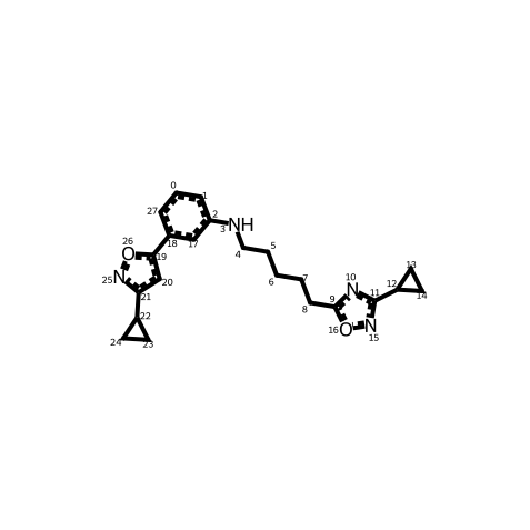 c1cc(NCCCCCc2nc(C3CC3)no2)cc(-c2cc(C3CC3)no2)c1